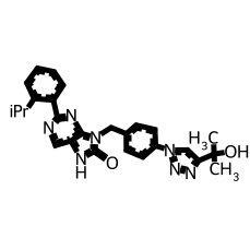 CC(C)c1ccccc1-c1ncc2[nH]c(=O)n(Cc3ccc(-n4cc(C(C)(C)O)nn4)cc3)c2n1